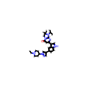 CCN1CCC(n2cc(-c3ccc4[nH]cc(-c5cc(=O)n6c(n5)N(C(C)C)C(C)(C)C6)c4c3)cn2)CC1